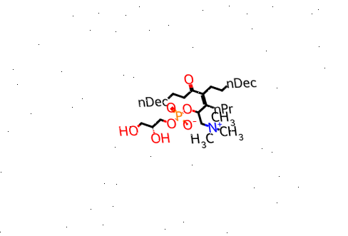 CCCCCCCCCCCCC(=O)C(CCCCCCCCCCCC)=C(CCC)C(C[N+](C)(C)C)OP(=O)([O-])OC[C@H](O)CO